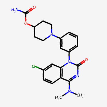 CN(C)c1nc(=O)n(-c2cccc(N3CCC(OC(N)=O)CC3)c2)c2cc(Cl)ccc12